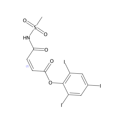 CS(=O)(=O)NC(=O)/C=C\C(=O)Oc1c(I)cc(I)cc1I